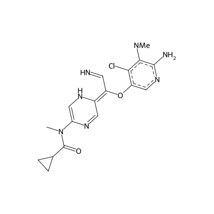 CNc1c(N)ncc(O/C(C=N)=C2\C=NC(N(C)C(=O)C3CC3)=CN2)c1Cl